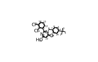 CC(C)(C)c1ccc(Cn2c(-c3cccc(Cl)c3Cl)nc(O)cc2=O)cc1